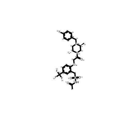 CC(=O)NS(=O)(=O)Cc1cc(C(F)(F)F)ccc1OCC(=O)N1C[C@H](C)N(Cc2ccc(F)cc2)C[C@H]1C